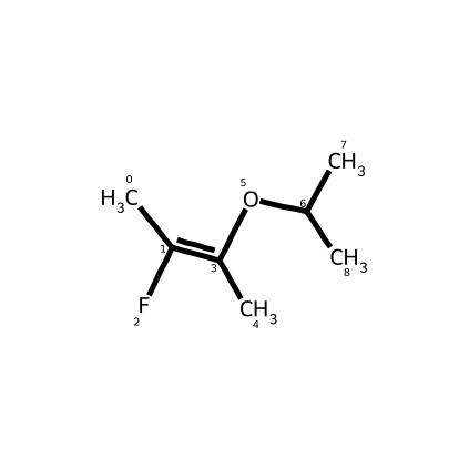 C/C(F)=C(/C)OC(C)C